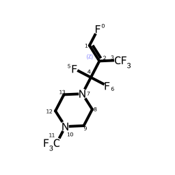 F/C=C(\C(F)(F)F)C(F)(F)N1CCN(C(F)(F)F)CC1